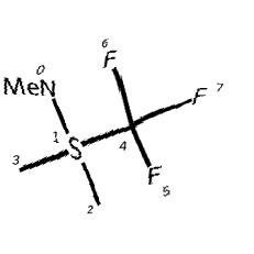 CNS(C)(C)C(F)(F)F